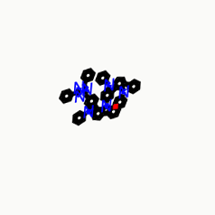 c1ccc(-c2nc(-c3ccccc3)nc(-c3ccc4c5c(ccc6c7ccccc7n(-c7ccc8c(c7)c7c(ccc9c%10ccccc%10n(-c%10ccccc%10)c97)n8-c7ccccc7)c65)n(-c5ccccc5)c4c3)n2)cc1